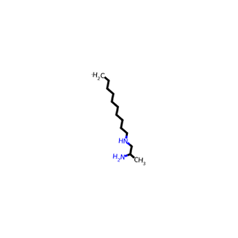 [CH2]CCCCCCCCCNCC(C)N